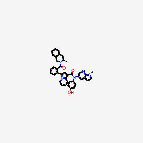 C[C@@H]1Cc2ccccc2CN1C(=O)c1ccccc1-c1cc(C(=O)N(c2ccc(O)cc2)c2cnc3c(ccn3C)c2)c2ccccn12